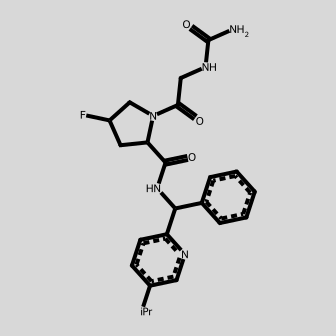 CC(C)c1ccc(C(NC(=O)C2CC(F)CN2C(=O)CNC(N)=O)c2ccccc2)nc1